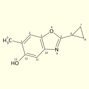 Cc1cc2oc(C3CC3)nc2cc1O